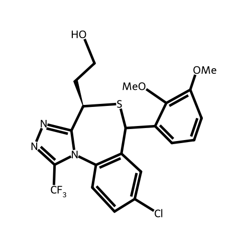 COc1cccc(C2S[C@H](CCO)c3nnc(C(F)(F)F)n3-c3ccc(Cl)cc32)c1OC